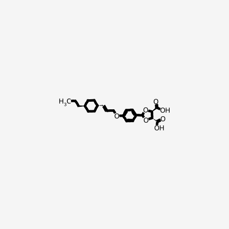 CCC[C@H]1CC[C@H](/C=C/COc2ccc(C3O[C@@H](C(=O)O)[C@H](C(=O)O)O3)cc2)CC1